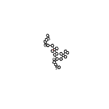 C1=CC2C(C3=c4oc5ccc6cc7sc8ccccc8c7cc6c5c4=CC(c4cccc(-c5c6ccccc6c(-c6cccc7ccccc67)c6ccccc56)c4)C3)=CC=CC2C(c2c3c(c(-c4cccc(-c5ccc6oc7ccc8cc9c%10c(sc9cc8c7c6c5)C=CCC%10)c4)c4ccccc24)=CCCC=3)=C1